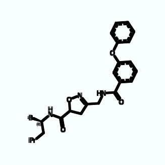 [B][C@H](CC(C)C)NC(=O)C1CC(CNC(=O)c2cccc(Oc3ccccc3)c2)=NO1